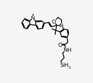 Cn1c2ccccc2c2ccc(/C=C/C34OCCN3c3ccc(CC(=O)NCCC[SiH3])cc3C4(C)C)cc21